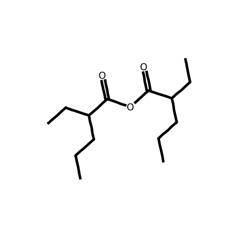 CCCC(CC)C(=O)OC(=O)C(CC)CCC